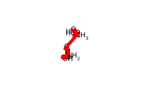 Cn1c(=O)n(C2CCC(=O)NC2O)c2ccc(CCCCCCCCCCCOc3cccc(CN4CCN(c5cc(-c6ccccc6O)nnc5N)CC4)c3)cc21